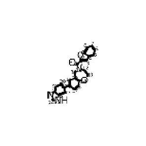 O=C(c1cc2ccccc2o1)N1CCOc2ccc(-c3ccc4nc[nH]c4c3)cc2C1